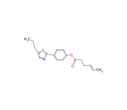 C/C=C/CCC(=O)Oc1ccc(-c2ncc(CCC)s2)cc1